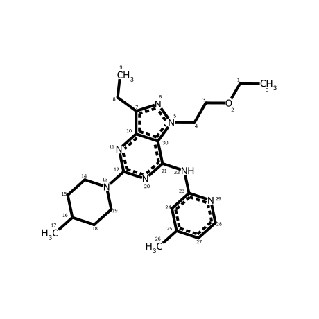 CCOCCn1nc(CC)c2nc(N3CCC(C)CC3)nc(Nc3cc(C)ccn3)c21